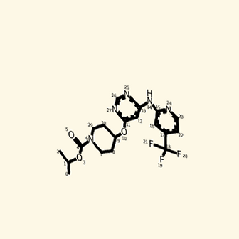 CC(C)OC(=O)N1CCC(Oc2cc(Nc3cc(C(F)(F)F)ccn3)ncn2)CC1